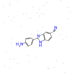 N#Cc1ccc2[nH]c(-c3ccc(N)cc3)nc2c1